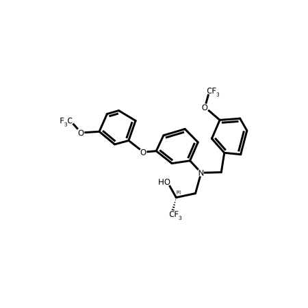 O[C@H](CN(Cc1cccc(OC(F)(F)F)c1)c1cccc(Oc2cccc(OC(F)(F)F)c2)c1)C(F)(F)F